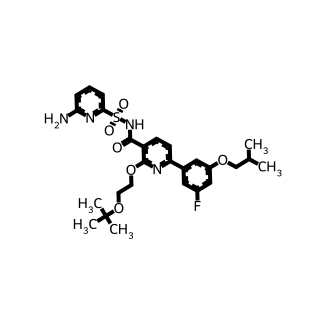 CC(C)COc1cc(F)cc(-c2ccc(C(=O)NS(=O)(=O)c3cccc(N)n3)c(OCCOC(C)(C)C)n2)c1